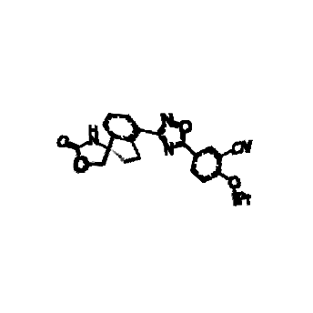 CC(C)Oc1ccc(-c2nc(-c3cccc4c3CC[C@@]43COC(=O)N3)no2)cc1C#N